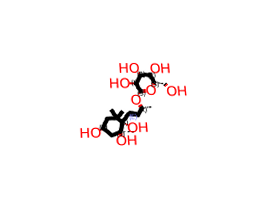 C[C@H](/C=C/[C@]1(O)C(C)(C)C[C@@H](O)C[C@]1(C)O)O[C@H]1O[C@@H](CO)[C@H](O)[C@@H](O)[C@@H]1O